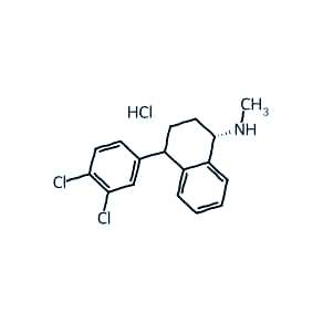 CN[C@H]1CCC(c2ccc(Cl)c(Cl)c2)c2ccccc21.Cl